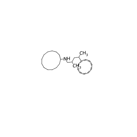 CC(CNC1CCCCCCCCCCCC1)CC(C)c1ccccccccc1